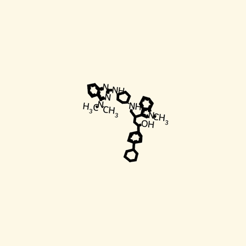 CN(C)c1nc(N[C@H]2CC[C@@H](NCC(CC(O)c3ccc(C4CCCCC4)cc3)c3cn(C)c4ccccc34)CC2)nc2ccccc12